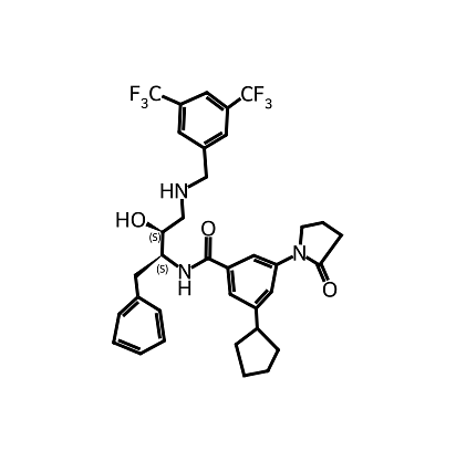 O=C(N[C@@H](Cc1ccccc1)[C@@H](O)CNCc1cc(C(F)(F)F)cc(C(F)(F)F)c1)c1cc(C2CCCC2)cc(N2CCCC2=O)c1